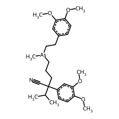 COc1ccc(CC[As](C)CCCC(C#N)(c2ccc(OC)c(OC)c2)C(C)C)cc1OC